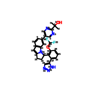 CC(C)(O)c1ncc(-c2ccc3cc4n(c3c2)C(c2c(OC(F)F)cccc2-c2cnn[nH]2)CC4)cn1